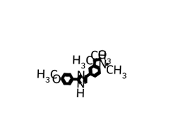 CCN1C(=O)C(C)(C)c2cc(-c3c[nH]c(-c4ccc(OC)cc4)n3)ccc21